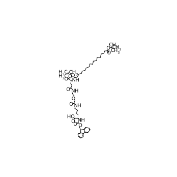 CC(C)(C)OC(=O)CCCCCCCCCCCCCCCCC(=O)N[C@@H](CCC(=O)NCCOCC(=O)NCCCC[C@H](NC(=O)OCC1c2ccccc2-c2ccccc21)C(=O)O)C(=O)OC(C)(C)C